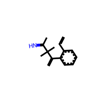 C=Cc1ccccc1C(=C)C(C)(C)C(C)=N